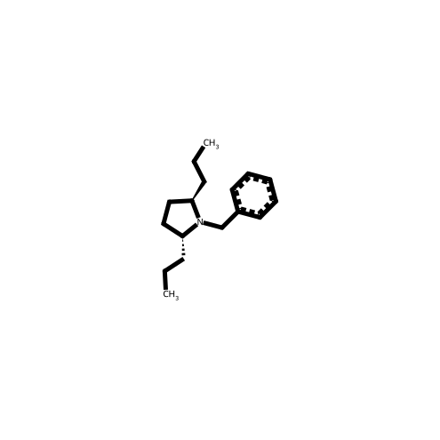 CCC[C@@H]1CC[C@@H](CCC)N1Cc1ccccc1